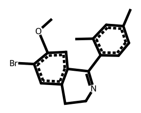 COc1cc2c(cc1Br)CCN=C2c1ccc(C)cc1C